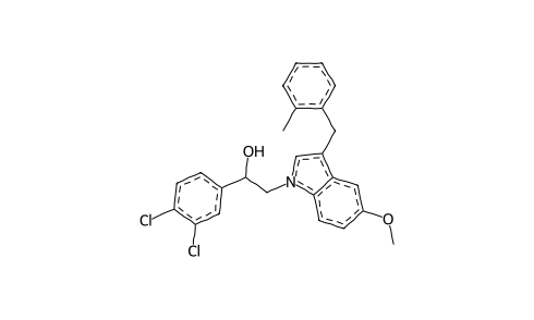 COc1ccc2c(c1)c(Cc1ccccc1C)cn2CC(O)c1ccc(Cl)c(Cl)c1